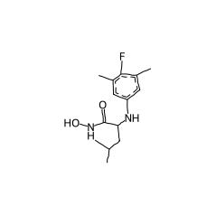 Cc1cc(NC(CC(C)C)C(=O)NO)cc(C)c1F